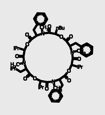 CCCCC1OC(=O)C(Cc2ccccc2)N(C)C(=O)C(C(C)C)OC(=O)C(Cc2ccccc2)N(C)C(=O)C(C(C)C)OC(=O)C(CC(C)C)N(C)C(=O)C(C(C)C)OC(=O)C(Cc2ccccc2)N(C)C1=O